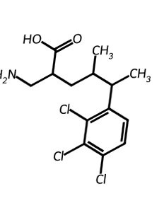 CC(CC(CN)C(=O)O)C(C)c1ccc(Cl)c(Cl)c1Cl